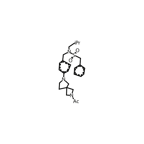 CC(=O)N1CC2(CCN(c3ccc(CN(CC(C)C)S(=O)(=O)Cc4ccccc4)cc3)C2)C1